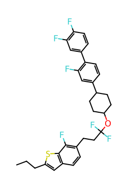 CCCc1cc2ccc(CCC(F)(F)OC3CCC(c4ccc(-c5ccc(F)c(F)c5)c(F)c4)CC3)c(F)c2s1